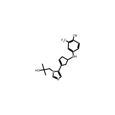 CC(C)(O)Cn1cncc1C1=CCC(Nc2ccc(C#N)c(C(F)(F)F)c2)C1